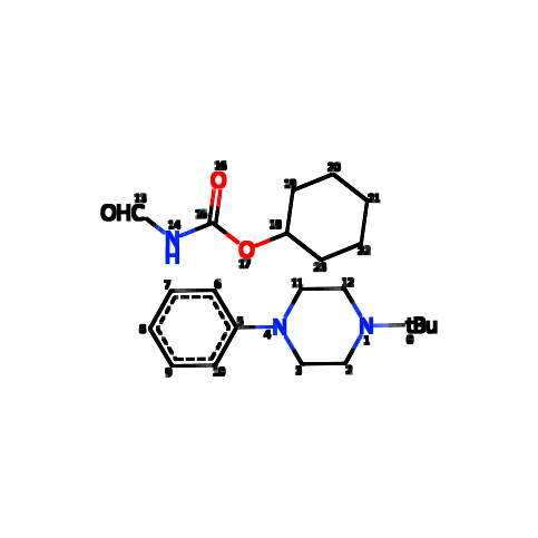 CC(C)(C)N1CCN(c2ccccc2)CC1.O=CNC(=O)OC1CCCCC1